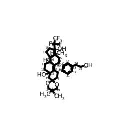 CC1(C)COC2(CCC3=C4[C@@H](CC[C@@]3(O)C2)[C@@H]2CC[C@@](O)(C(F)(F)C(F)(F)F)[C@@]2(C)C[C@@H]4c2cccc(CCO)c2)OC1